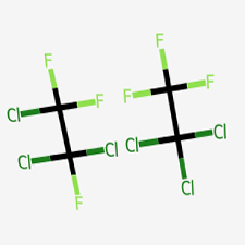 FC(F)(Cl)C(F)(Cl)Cl.FC(F)(F)C(Cl)(Cl)Cl